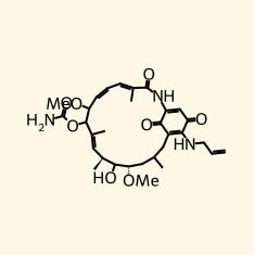 C=CCNC1=C2CC(C)C[C@H](OC)C(O)[C@@H](C)/C=C(\C)C(OC(N)=O)C(OC)/C=C\C=C(/C)C(=O)NC(=CC1=O)C2=O